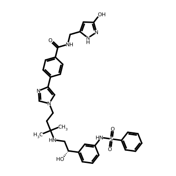 CC(C)(CCn1cnc(-c2ccc(C(=O)NCc3cc(O)n[nH]3)cc2)c1)NC[C@@H](O)c1cccc(NS(=O)(=O)c2ccccc2)c1